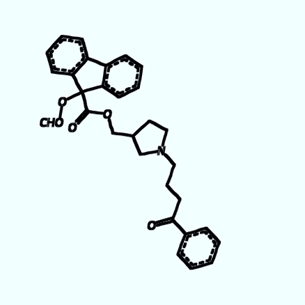 O=COC1(C(=O)OCC2CCN(CCCC(=O)c3ccccc3)C2)c2ccccc2-c2ccccc21